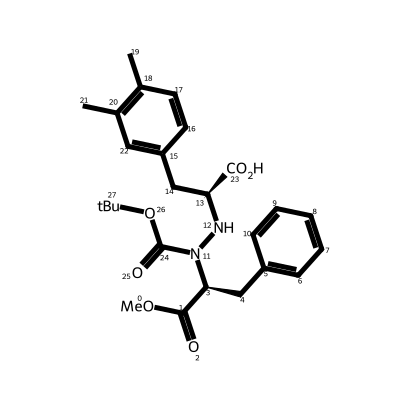 COC(=O)[C@H](Cc1ccccc1)N(N[C@@H](Cc1ccc(C)c(C)c1)C(=O)O)C(=O)OC(C)(C)C